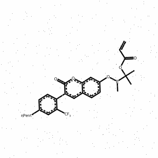 C=CC(=O)OC(C)(C)B(C)Oc1ccc2cc(-c3ccc(CCCCC)cc3C(F)(F)F)c(=O)oc2c1